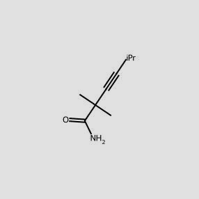 CC(C)C#CC(C)(C)C(N)=O